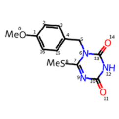 COc1ccc(Cn2c(SC)nc(=O)[nH]c2=O)cc1